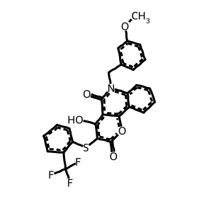 COc1cccc(Cn2c(=O)c3c(O)c(Sc4ccccc4C(F)(F)F)c(=O)oc3c3ccccc32)c1